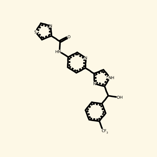 O=C(Nc1ccc(-c2c[nH]c(C(O)c3cccc(C(F)(F)F)c3)n2)nc1)c1cscn1